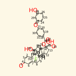 C[C@]12C=CC(=O)C=C1CC[C@H]1[C@@H]3CC[C@@](OC(=O)c4ccc(Oc5cccc(O)c5)cc4)(C(=O)O)[C@@]3(C)C[C@H](O)C12F